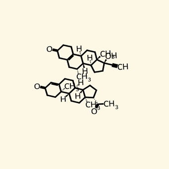 C#C[C@]1(O)CC[C@H]2[C@@H]3[C@H](C)CC4=C(CCC(=O)C4)[C@H]3CC[C@@]21C.CC(=O)[C@H]1CC[C@H]2[C@@H]3CCC4=CC(=O)CC[C@]4(C)[C@H]3CC[C@]12C